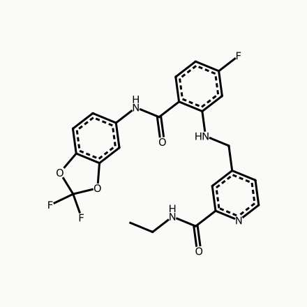 CCNC(=O)c1cc(CNc2cc(F)ccc2C(=O)Nc2ccc3c(c2)OC(F)(F)O3)ccn1